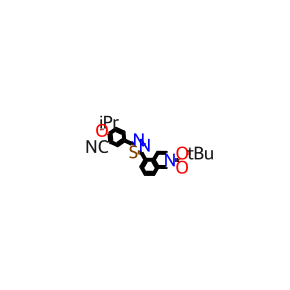 CC(C)Oc1ccc(-c2nnc(-c3cccc4c3CCN(C(=O)OC(C)(C)C)C4)s2)cc1C#N